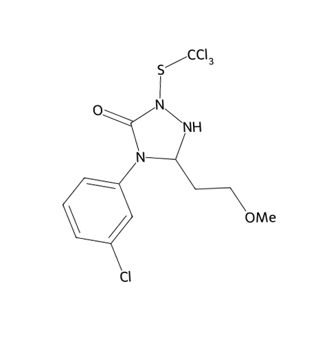 COCCC1NN(SC(Cl)(Cl)Cl)C(=O)N1c1cccc(Cl)c1